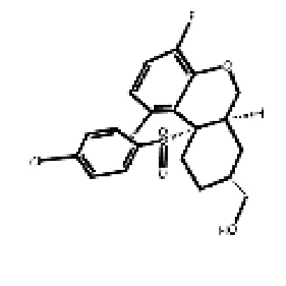 O=S(=O)(c1ccc(Cl)cc1)[C@@]12CC[C@@H](CO)C[C@@H]1COc1c(F)ccc(F)c12